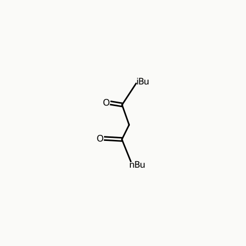 CCCCC(=O)CC(=O)C(C)CC